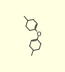 CC1CC=C(OC2=CCC(C)CC2)CC1